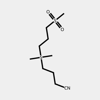 CS(C)(CCCC#N)CCCS(C)(=O)=O